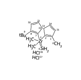 CC1=[C]([Zr]([CH3])([CH3])(=[SiH2])[C]2=C(C(C)(C)C)C=CC2)CC=C1.Cl.Cl